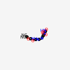 N#Cc1ccc(O[C@H]2CC[C@H](NC(=O)c3ccc(N4CCC(CN5Cc6cc7c(cc6C5)C(=O)N(C5CCC(=O)NC5=O)C7=O)CC4)cc3)CC2)cc1C#N